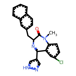 CN1C(=O)C(Cc2ccc3ccccc3c2)N=C(c2cn[nH]c2)c2cc(Cl)ccc21